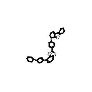 c1ccc(-c2ccc(-c3cccc4nc(-c5ccc(-c6cccc7c6oc6ccccc67)cc5)oc34)cc2)cc1